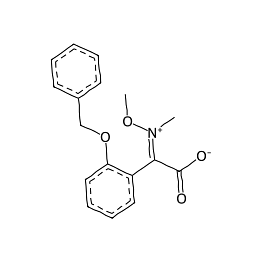 CO/[N+](C)=C(/C(=O)[O-])c1ccccc1OCc1ccccc1